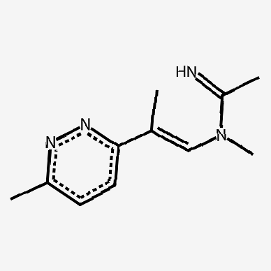 CC(=N)N(C)/C=C(\C)c1ccc(C)nn1